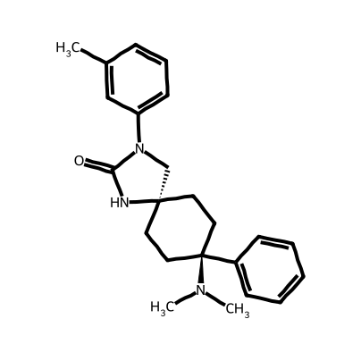 Cc1cccc(N2C[C@]3(CC[C@](c4ccccc4)(N(C)C)CC3)NC2=O)c1